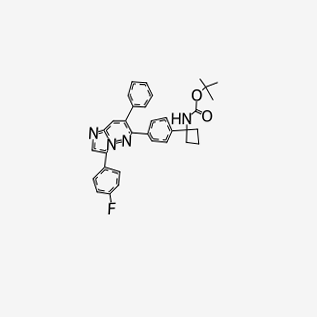 CC(C)(C)OC(=O)NC1(c2ccc(-c3nn4c(-c5ccc(F)cc5)cnc4cc3-c3ccccc3)cc2)CCC1